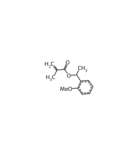 C=C(C)C(=O)OC(C)c1ccccc1OC